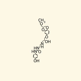 CCOCC1COc2ccc(OCC(O)CNCCNC(=O)Nc3ccc(O)cc3)cc2O1